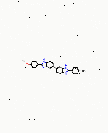 CC(C)(C)Oc1ccc(-c2nc3cc(-c4ccc5nc(-c6ccc(C(C)(C)C)cc6)[nH]c5c4)ccc3[nH]2)cc1